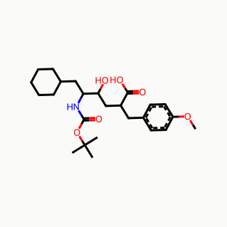 COc1ccc(CC(CC(O)C(CC2CCCCC2)NC(=O)OC(C)(C)C)C(=O)O)cc1